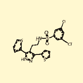 O=S(=O)(NCCc1c(-c2cccs2)n[nH]c1-c1cccs1)c1cc(Cl)cc(Cl)c1